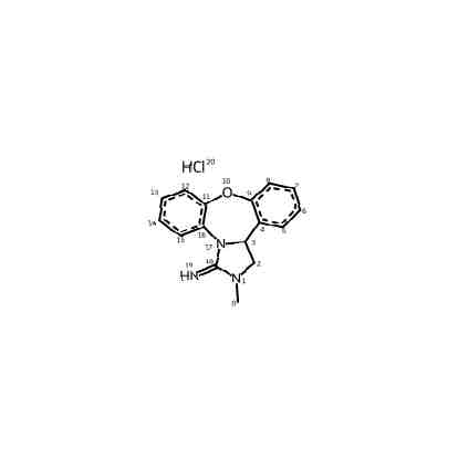 CN1CC2c3ccccc3Oc3ccccc3N2C1=N.Cl